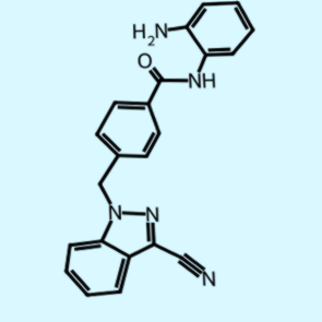 N#Cc1nn(Cc2ccc(C(=O)Nc3ccccc3N)cc2)c2ccccc12